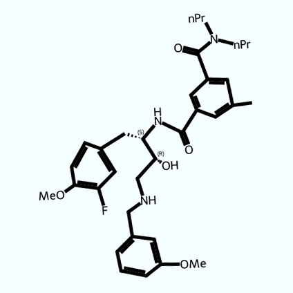 CCCN(CCC)C(=O)c1cc(C)cc(C(=O)N[C@@H](Cc2ccc(OC)c(F)c2)[C@H](O)CNCc2cccc(OC)c2)c1